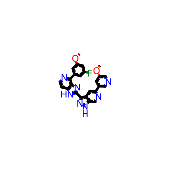 COc1cncc(-c2cc3c(-c4nc5c(-c6cc(F)cc(OC)c6)nccc5[nH]4)n[nH]c3cn2)c1